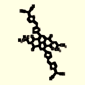 CC(C)CN1C(=O)c2cc(-c3ccc(/C=c4\ccc(=C(C#N)C#N)s4)s3)c3c4c(cc(-c5ccc(/C=c6\ccc(=C(C#N)C#N)s6)s5)c(c24)C1=O)C(=O)N(CC(C)C)C3=O